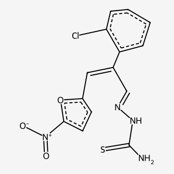 NC(=S)NN=CC(=Cc1ccc([N+](=O)[O-])o1)c1ccccc1Cl